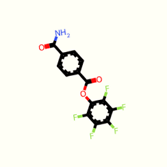 NC(=O)c1ccc(C(=O)Oc2c(F)c(F)c(F)c(F)c2F)cc1